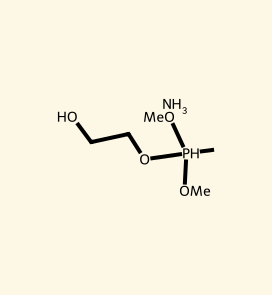 CO[PH](C)(OC)OCCO.N